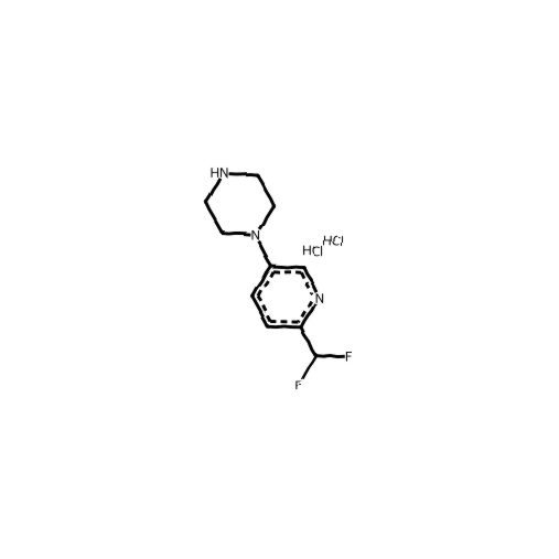 Cl.Cl.FC(F)c1ccc(N2CCNCC2)cn1